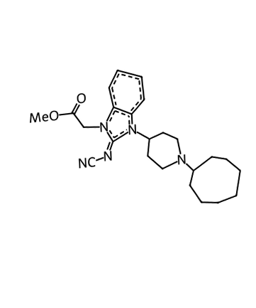 COC(=O)Cn1c(=NC#N)n(C2CCN(C3CCCCCCC3)CC2)c2ccccc21